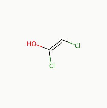 O/C(Cl)=C/Cl